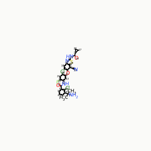 CC(C)(N)c1cccc(C(=O)Nc2cc(Oc3ccc4nc(NC(=O)C5CC5)sc4c3C#N)c(Cl)cc2F)c1Cl